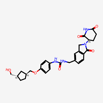 O=C1CC[C@@H](N2Cc3cc(CNC(=O)Nc4ccc(OC[C@H]5CC[C@H](CO)C5)cc4)ccc3C2=O)C(=O)N1